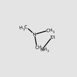 CN(C)C.[CH2]CN